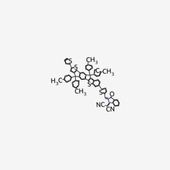 Cc1ccc(C2(c3ccc(C)cc3)c3cc4c(cc3-c3sc(-c5cc#cs5)cc32)C(c2ccc(C)cc2)(c2ccc(C)cc2)c2c-4sc3cc(-c4ccc(/C=C5\C(=O)c6ccccc6C5=C(C#N)C#N)s4)ccc23)cc1